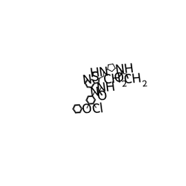 C=CC(=O)NC1CCC(NC(=C)c2sc3nccc4c3c2NC(=O)N4c2ccc(Oc3ccccc3)c(Cl)c2)C1